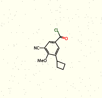 COc1c(C#N)cc(C(=O)Cl)cc1C1CCC1